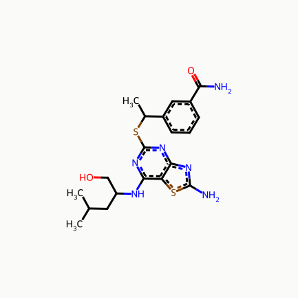 CC(C)CC(CO)Nc1nc(SC(C)c2cccc(C(N)=O)c2)nc2nc(N)sc12